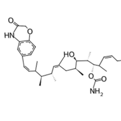 CC/C=C\C(C)[C@H](OC(N)=O)[C@@H](C)[C@H](O)[C@@H](C)C/C(C)=C\[C@H](C)[C@@H](C)C(C)/C=C\c1ccc2c(c1)NC(=O)CO2